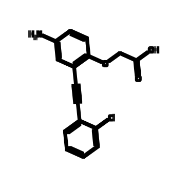 Nc1ccc(OCC(=O)O)c(C#Cc2ccccc2Cl)c1